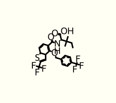 CCC(C)(C)[C@H](NC(=O)C1=C(OCc2ccc(C(F)(F)F)cc2)C2C=C(C(F)(F)F)SC2C=C1)C(=O)O